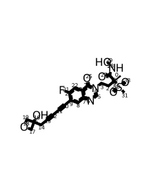 C[C@@](CCn1cnc2cc(C#CC#CCC3(O)COC3)c(F)cc2c1=O)(C(=O)NO)S(C)(=O)=O